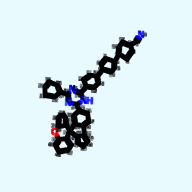 N#Cc1ccc(-c2ccc(-c3ccc(C4=NC(c5ccccc5)=NC(c5ccc6c(c5)C5(c7ccccc7Oc7ccccc75)c5ccccc5-6)N4)cc3)cc2)cc1